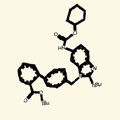 CCCCc1nc2ccc(NC(=O)OC3CCCCC3)cc2n1Cc1ccc(-c2ccccc2C(=O)OC(C)(C)C)cc1